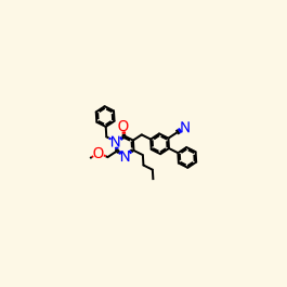 CCCCc1nc(COC)n(Cc2ccccc2)c(=O)c1Cc1ccc(-c2ccccc2)c(C#N)c1